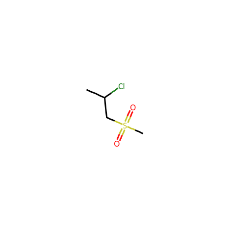 CC(Cl)CS(C)(=O)=O